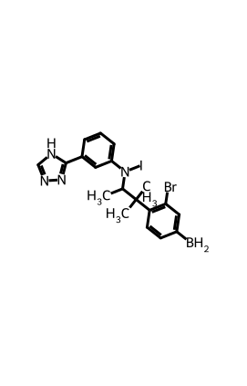 Bc1ccc(C(C)(C)C(C)N(I)c2cccc(-c3nnc[nH]3)c2)c(Br)c1